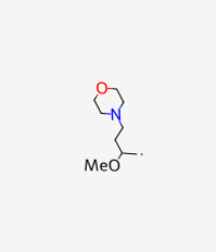 [CH2]C(CCN1CCOCC1)OC